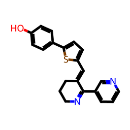 Oc1ccc(-c2ccc(C=C3CCCN=C3c3cccnc3)s2)cc1